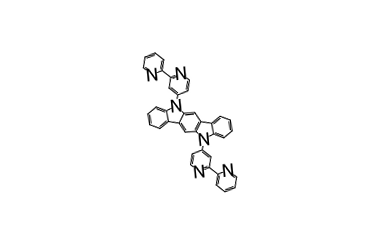 c1ccc(-c2cc(-n3c4ccccc4c4cc5c(cc43)c3ccccc3n5-c3ccnc(-c4ccccn4)c3)ccn2)nc1